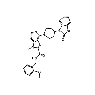 COc1ccccc1CNC(=O)c1nc2c(N3CCC(n4c(=O)[nH]c5ccccc54)CC3)ncnc2n1C